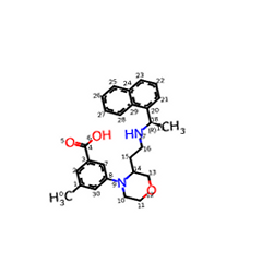 Cc1cc(C(=O)O)cc(N2CCOCC2CCN[C@H](C)c2cccc3ccccc23)c1